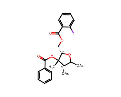 CC(=O)OC1O[C@@H](COC(=O)c2ccccc2I)C(C)(OC(=O)c2ccccc2)[C@H]1OC(C)=O